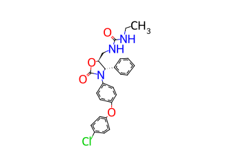 CCNC(=O)NC[C@@H]1OC(=O)N(c2ccc(Oc3ccc(Cl)cc3)cc2)[C@H]1c1ccccc1